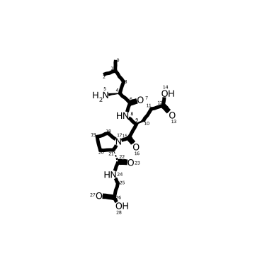 CC(C)C[C@H](N)C(=O)N[C@@H](CCC(=O)O)C(=O)N1CCC[C@H]1C(=O)NCC(=O)O